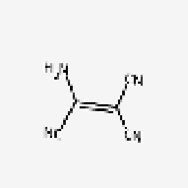 N#CC(N)=C(C#N)C#N